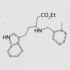 CCOC(=O)CC(CCc1c[nH]c2ccccc12)NCc1ccccc1C